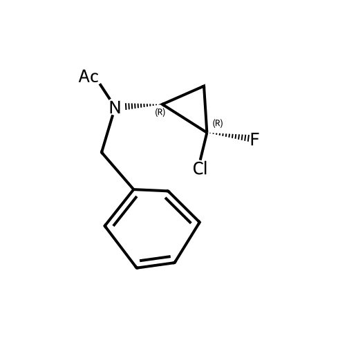 CC(=O)N(Cc1ccccc1)[C@@H]1C[C@@]1(F)Cl